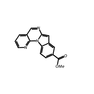 COC(=O)c1ccc2c(c1)cc1ncc3cccnc3n12